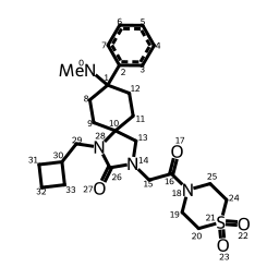 CNC1(c2ccccc2)CCC2(CC1)CN(CC(=O)N1CCS(=O)(=O)CC1)C(=O)N2CC1CCC1